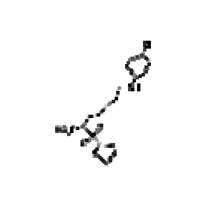 O=C(O)C(CCCCCNc1ccc(Cl)cc1)S(=O)(=O)c1cccs1